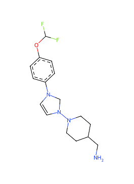 NCC1CCN(N2C=CN(c3ccc(OC(F)F)cc3)C2)CC1